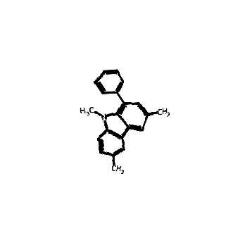 Cc1ccc2c(c1)c1cc(C)cc(-c3ccccc3)c1n2C